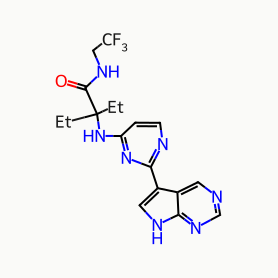 CCC(CC)(Nc1ccnc(-c2c[nH]c3ncncc23)n1)C(=O)NCC(F)(F)F